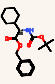 CC(C)(C)OC(=O)N[C@H](C(=O)OCc1ccccc1)C1CCCCC1